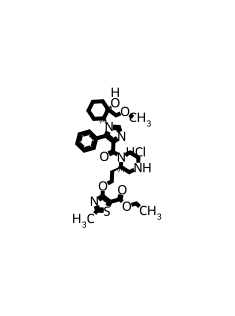 CCOC(=O)c1sc(C)nc1OCC[C@@H]1CNCCN1C(=O)c1ncn([C@@H]2CCCC[C@@]2(O)COC)c1-c1ccccc1.Cl